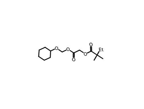 CCC(C)(C)C(=O)OCC(=O)OCOC1CCCCC1